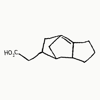 O=C(O)CC1CC2=C3CCCC3C1C2